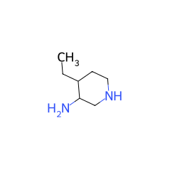 CCC1CCNCC1N